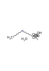 CCCCCCCC/C=C\CCCCCCCC(C)(C)NCC(=O)O.O